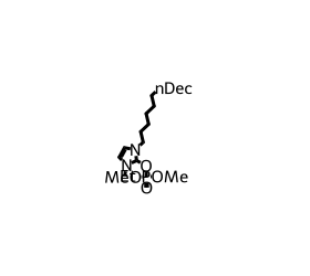 CCCCCCCCCCCCCCCCN1C=CN(CC)C1OP(=O)(OC)OC